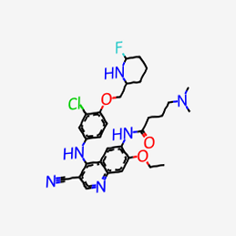 CCOc1cc2ncc(C#N)c(Nc3ccc(OCC4CCCC(F)N4)c(Cl)c3)c2cc1NC(=O)CCCN(C)C